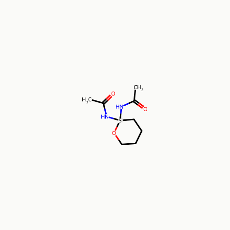 CC(=O)N[Si]1(NC(C)=O)CCCCO1